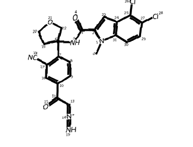 Cn1c(C(=O)NC2(c3ccc(C(=O)C=[N+]=N)cc3C#N)CCOC2)cc2c(Cl)c(Cl)ccc21